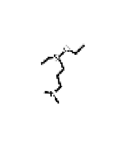 CCO[Si](CC)CCCN(C)C